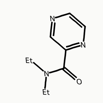 CCN(CC)C(=O)c1cnccn1